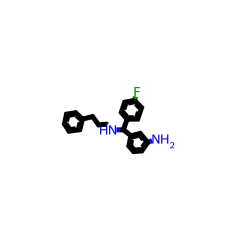 Nc1cccc(C(NCCCc2ccccc2)c2ccc(F)cc2)c1